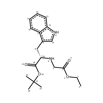 CCOC(=O)CN[C@@H](Cc1c[nH]c2ccccc12)C(=O)OC(C)(C)C